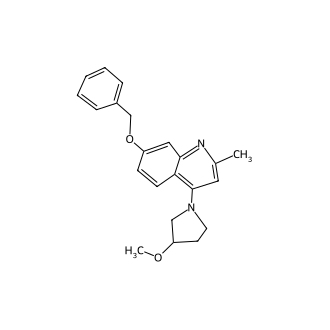 COC1CCN(c2cc(C)nc3cc(OCc4ccccc4)ccc23)C1